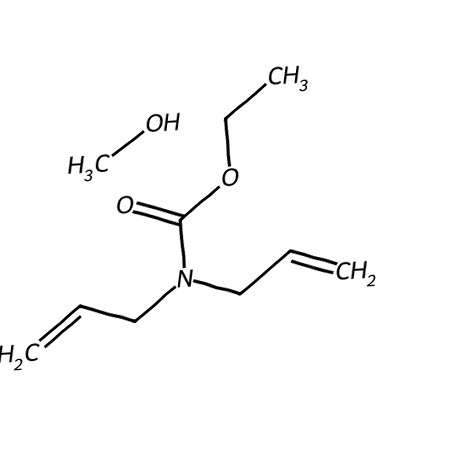 C=CCN(CC=C)C(=O)OCC.CO